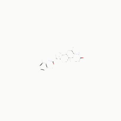 CC1=C2N(C)C(=O)CC[C@]2(C)[C@@H]2CC[C@]3(C)C(C(=O)Nc4c(Cl)cc(Cl)cc4C#N)CC[C@H]3[C@@H]2C1